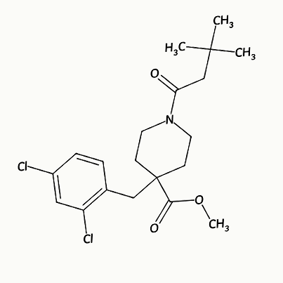 COC(=O)C1(Cc2ccc(Cl)cc2Cl)CCN(C(=O)CC(C)(C)C)CC1